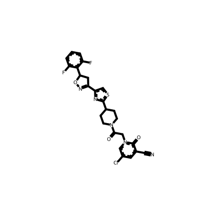 N#Cc1cc(Cl)cn(CC(=O)N2CCC(c3nc(C4=NOC(c5c(F)cccc5F)C4)cs3)CC2)c1=O